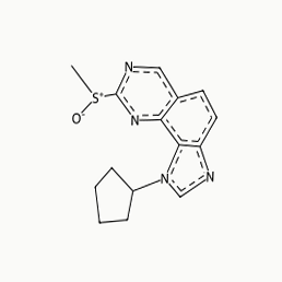 C[S+]([O-])c1ncc2ccc3ncn(C4CCCC4)c3c2n1